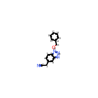 N#CCc1ccc2c(c1)nnn2OCc1ccccc1